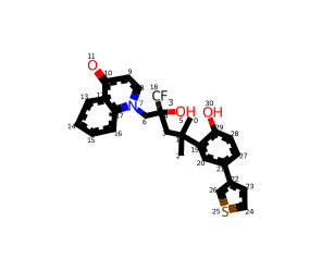 CC(C)(CC(O)(Cn1ccc(=O)c2ccccc21)C(F)(F)F)c1cc(-c2ccsc2)ccc1O